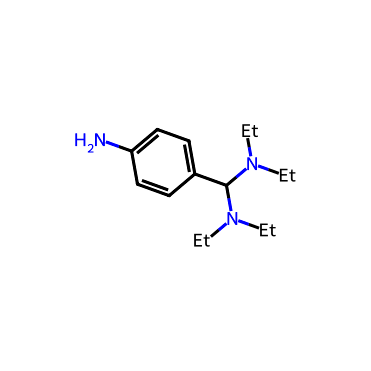 CCN(CC)C(c1ccc(N)cc1)N(CC)CC